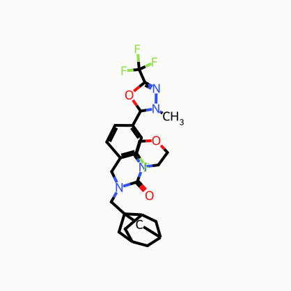 CN1N=C(C(F)(F)F)OC1c1ccc(CN(CC23CC4CC(CC2C4)C3)C(=O)N2CCOCC2)c(F)c1